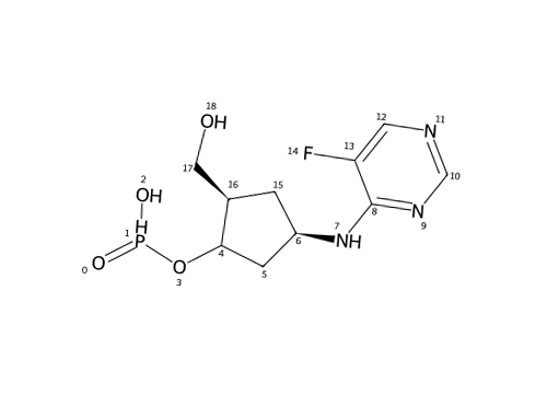 O=[PH](O)OC1C[C@H](Nc2ncncc2F)C[C@@H]1CO